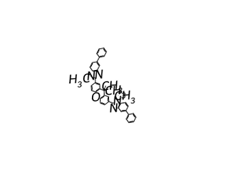 Cn1c(-c2ccc3c(c2)C(C)(C)c2cc(-c4nc5cc(-c6ccccc6)ccc5n4C)ccc2O3)nc2cc(-c3ccccc3)ccc21